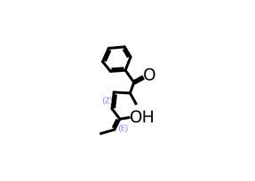 C/C=C(O)\C=C/C(C)C(=O)c1ccccc1